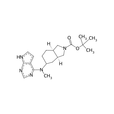 CN(c1ncnc2[nH]ccc12)C1CC[C@H]2CN(C(=O)OC(C)(C)C)C[C@H]2C1